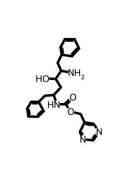 NC(Cc1ccccc1)C(O)CC(Cc1ccccc1)NC(=O)OCc1cncnc1